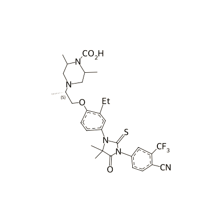 CCc1cc(N2C(=S)N(c3ccc(C#N)c(C(F)(F)F)c3)C(=O)C2(C)C)ccc1OC[C@H](C)N1CC(C)N(C(=O)O)C(C)C1